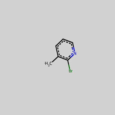 [CH2]c1cccnc1Br